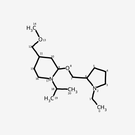 CCN1CCCC1COC1CC(COC)CCN1C(C)C